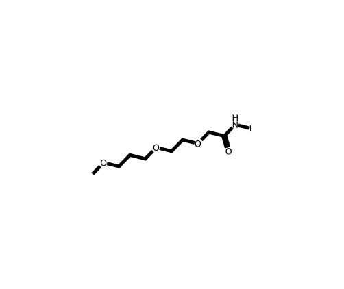 COCCCOCCOCC(=O)NI